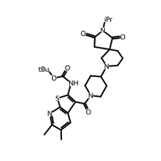 Cc1cc2c(C(=O)N3CCC(N4CCCC5(CC(=O)N(C(C)C)C5=O)C4)CC3)c(NC(=O)OC(C)(C)C)sc2nc1C